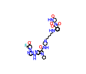 CO[C@H]1CCN(c2nccc(Nc3cc4c(cn3)c(C(=O)NC3CCN(CCCCCCNc5cccc6c5C(=O)N(C5CCC(=O)NC5=O)C6=O)CC3)cn4C3CCCC3)n2)C[C@H]1F